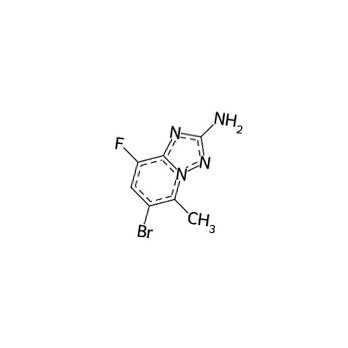 Cc1c(Br)cc(F)c2nc(N)nn12